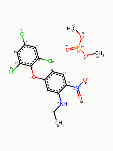 CCNc1cc(Oc2c(Cl)cc(Cl)cc2Cl)ccc1[N+](=O)[O-].CO[PH](=O)OC